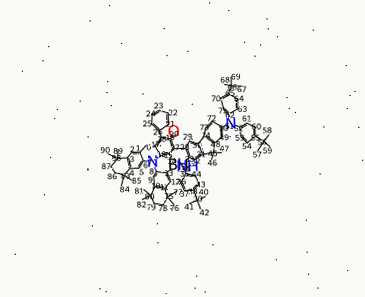 Cc1cc2c(cc1N1c3cc4c(cc3Bc3c1cc1c(oc5ccccc51)c3-c1cc3c(cc1Nc1ccc(C(C)(C)C)cc1)C(C)(C)c1cc(N(c5ccc(C(C)(C)C)cc5)c5ccc(C(C)(C)C)cc5)ccc1-3)C(C)(C)CCC4(C)C)C(C)(C)CCC2(C)C